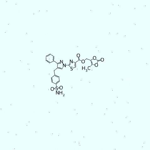 Cc1oc(=O)oc1COC(=O)c1csc(-n2cc(Cc3ccc(S(N)(=O)=O)cc3)c(-c3ccccc3)n2)n1